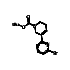 CC(C)(C)OC(=O)N1CCC=C(c2cccc(Br)n2)C1